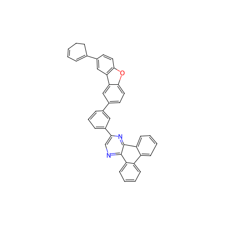 C1=CCCC(c2ccc3oc4ccc(-c5cccc(-c6cnc7c8ccccc8c8ccccc8c7n6)c5)cc4c3c2)=C1